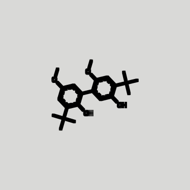 COc1cc(-c2cc(O)c(C(C)(C)C)cc2OC)c(O)c(C(C)(C)C)c1